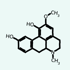 COc1cc2c3c(c1O)-c1cc(O)ccc1CC3N(C)CC2